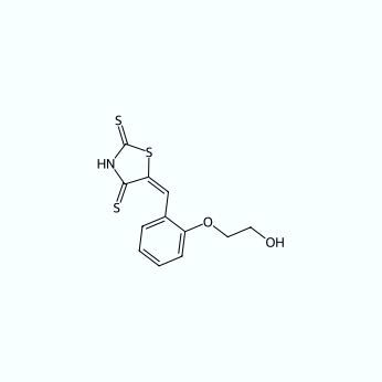 OCCOc1ccccc1/C=C1/SC(=S)NC1=S